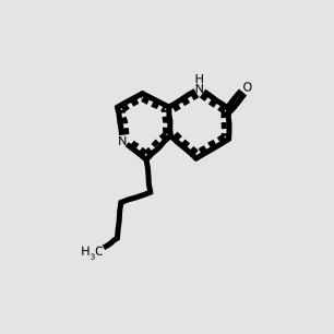 CCCCc1nccc2[nH]c(=O)ccc12